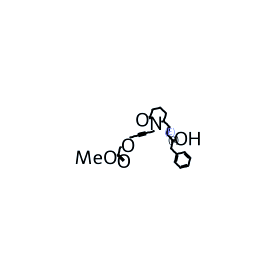 COC(=O)COCC#CCN1C(=O)CCCC1/C=C/[C@H](O)Cc1ccccc1